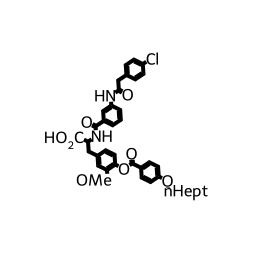 CCCCCCCOc1ccc(C(=O)Oc2ccc(CC(NC(=O)c3cccc(NC(=O)Cc4ccc(Cl)cc4)c3)C(=O)O)cc2OC)cc1